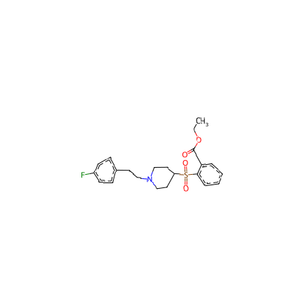 CCOC(=O)c1ccccc1S(=O)(=O)C1CCN(CCc2ccc(F)cc2)CC1